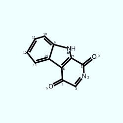 O=C1N=CC(=O)c2c1[nH]c1ccccc21